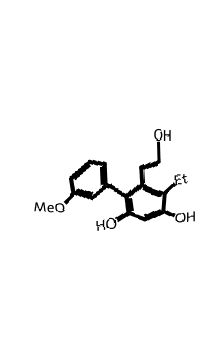 CCc1c(O)cc(O)c(-c2cccc(OC)c2)c1CCO